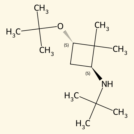 CC(C)(C)N[C@H]1C[C@H](OC(C)(C)C)C1(C)C